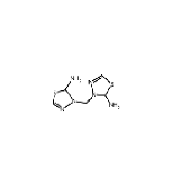 NC1SC=NN1CN1N=CSC1N